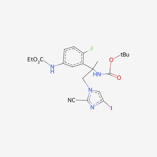 CCOC(=O)Nc1ccc(F)c(C(C)(Cn2cc(I)nc2C#N)NC(=O)OC(C)(C)C)c1